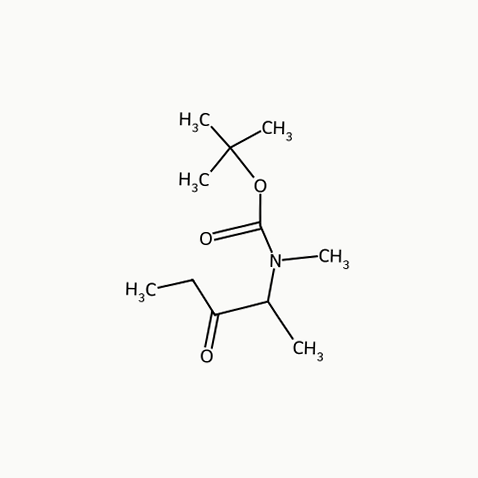 CCC(=O)C(C)N(C)C(=O)OC(C)(C)C